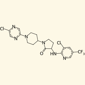 O=C1C(Nc2ncc(C(F)(F)F)cc2Cl)CCN1C1CCN(c2cnc(Cl)cn2)CC1